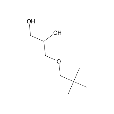 CC(C)(C)COCC(O)CO